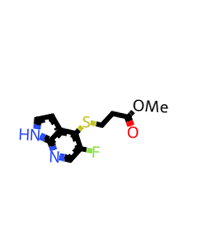 COC(=O)CCSc1c(F)cnc2[nH]ccc12